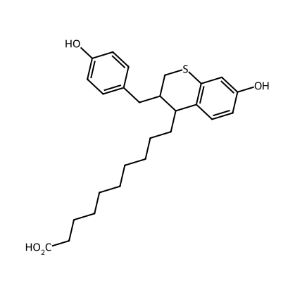 O=C(O)CCCCCCCCCC1c2ccc(O)cc2SCC1Cc1ccc(O)cc1